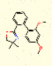 COc1ccc(-c2ccccc2C2=NC(C)(C)CO2)c(OC)c1